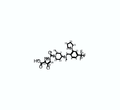 C[C@H]1CC(N(C)Cc2ccc(C(F)(F)F)cc2N2CCCC2)CCN1C(=O)n1cc(Cl)c(C(=O)O)n1